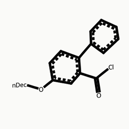 CCCCCCCCCCOc1ccc(-c2ccccc2)c(C(=O)Cl)c1